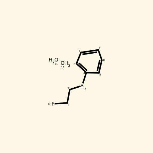 FCC[B]c1ccccc1.O.O